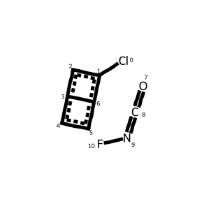 Clc1cc2ccc1-2.O=C=NF